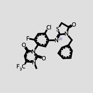 Cn1c(C(F)(F)F)cc(=O)n(-c2cc(/N=C3\SCC(=O)N3Cc3ccccc3)c(Cl)cc2F)c1=O